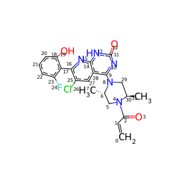 C=CC(=O)N1C[C@H](C)N(c2nc(=O)[nH]c3nc(-c4c(O)cccc4F)c(Cl)cc23)C[C@H]1C